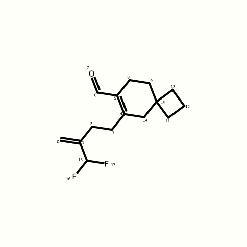 C=C(CCC1=C(C=O)CCC2(CCC2)C1)C(F)F